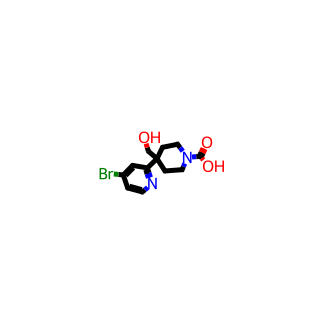 O=C(O)N1CCC(CO)(c2cc(Br)ccn2)CC1